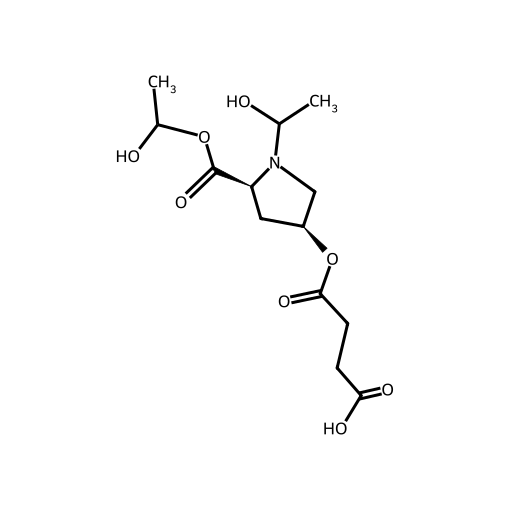 CC(O)OC(=O)[C@@H]1C[C@H](OC(=O)CCC(=O)O)CN1C(C)O